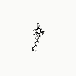 CC(=O)CCCCOCc1c(F)cc(F)cc1F